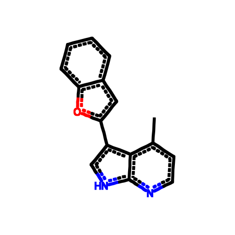 Cc1ccnc2[nH]cc(-c3cc4ccccc4o3)c12